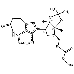 CC(C)(C)OC(=O)NC[C@H]1C[C@@H](n2cc3c4c(ncnc42)NC(=O)CC3)[C@@H]2OC(C)(C)O[C@H]12